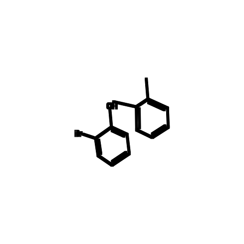 Cc1ccccc1C.Oc1ccccc1Br